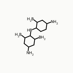 BC1CC(N)CCC1BC1C(B)CC(N)CC1B